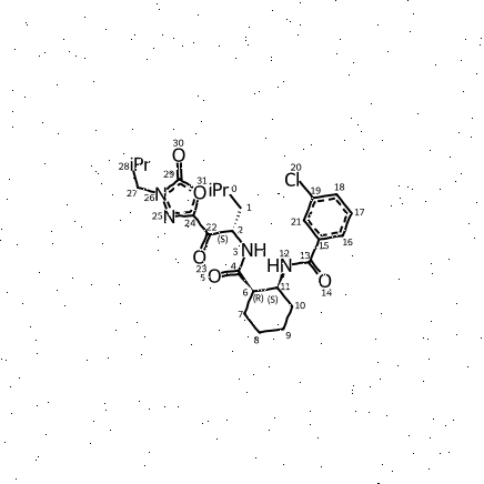 CC(C)C[C@H](NC(=O)[C@@H]1CCCC[C@@H]1NC(=O)c1cccc(Cl)c1)C(=O)c1nn(CC(C)C)c(=O)o1